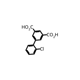 O=C(O)c1cc(C(=O)O)cc(-c2ccccc2Cl)c1